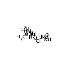 [2H]C([2H])([2H])n1nc(C)cc1Nc1ncc2cc(Cl)c(C3CCN([C@H]4COC[C@H]4O)CC3)cc2n1